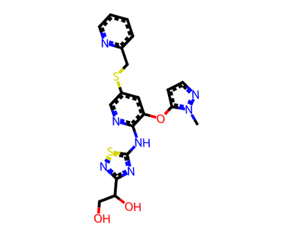 Cn1nccc1Oc1cc(SCc2ccccn2)cnc1Nc1nc(C(O)CO)ns1